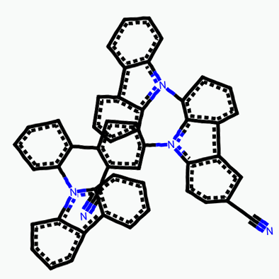 N#Cc1ccc2c(c1)c1cccc(-n3c4ccccc4c4ccccc43)c1n2-c1ccc(-c2ccccc2-n2c3ccccc3c3ccccc32)c(C#N)c1